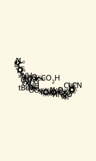 Cc1ncsc1-c1ccc([C@H](C)NC(=O)[C@@H]2C[C@@H](OC(=O)CCC(=O)O)CN2C(=O)[C@@H](NC(=O)COCCN2CCN(c3ccc(C(=O)N[C@H]4C(C)(C)[C@H](Oc5ccc(C#N)c(Cl)c5)C4(C)C)cn3)CC2)C(C)(C)C)cc1